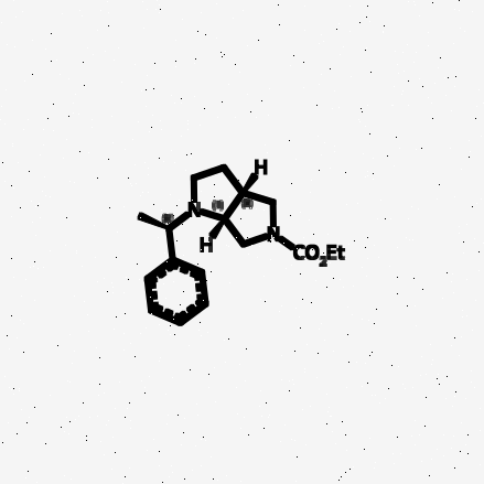 CCOC(=O)N1C[C@H]2CCN([C@H](C)c3ccccc3)[C@H]2C1